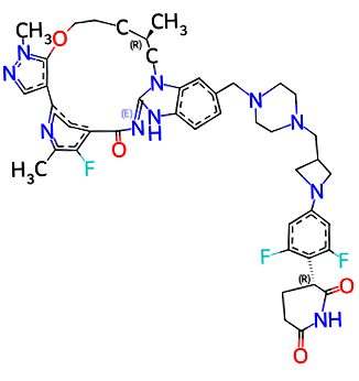 Cc1nc2cc(c1F)C(=O)/N=C1\Nc3ccc(CN4CCN(CC5CN(c6cc(F)c([C@H]7CCC(=O)NC7=O)c(F)c6)C5)CC4)cc3N1C[C@H](C)CCCOc1c-2cnn1C